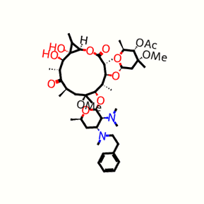 CO[C@]1(C)C[C@H](O[C@H]2[C@H](C)[C@@H](O[C@@H]3O[C@H](C)C[C@@H](N(C)CCc4ccccc4)[C@@H]3N(C)C)[C@@](C)(OC)C[C@@H](C)C(=O)[C@H](C)[C@@H](O)[C@@]3(O)C(C)[C@H]3OC(=O)[C@@H]2C)O[C@@H](C)[C@@H]1OC(C)=O